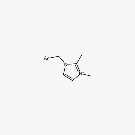 CC(=O)Cn1cc[n+](C)c1C